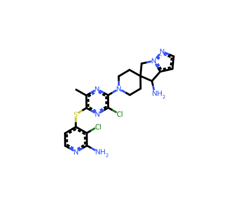 Cc1nc(N2CCC3(CC2)Cn2nccc2C3N)c(Cl)nc1Sc1ccnc(N)c1Cl